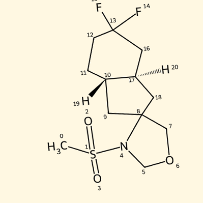 CS(=O)(=O)N1COCC12C[C@@H]1CCC(F)(F)C[C@H]1C2